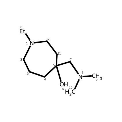 CCN1CCCC(O)(CN(C)C)CC1